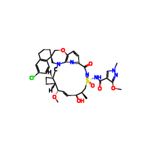 COc1nn(C)cc1C(=O)N[S@@]1(=O)=NC(=O)c2ccc3c(n2)N(C[C@@H]2CC[C@H]2[C@@H](OC)/C=C/[C@H](O)[C@H](C)C1)C[C@@]1(CCCc2cc(Cl)ccc21)CO3